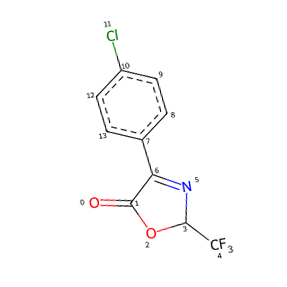 O=C1OC(C(F)(F)F)N=C1c1ccc(Cl)cc1